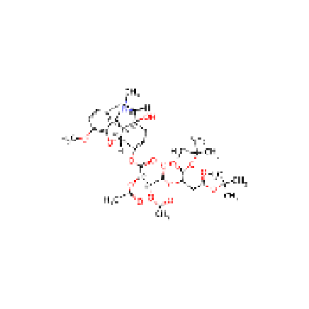 COc1ccc2c3c1O[C@H]1C(OC(=O)[C@H](OC(C)=O)[C@@H](OC(C)=O)C(=O)OC(CC(=O)OC(C)(C)C)C(=O)OC(C)(C)C)=CC[C@@]4(O)[C@@H](C2)N(C)CC[C@]314